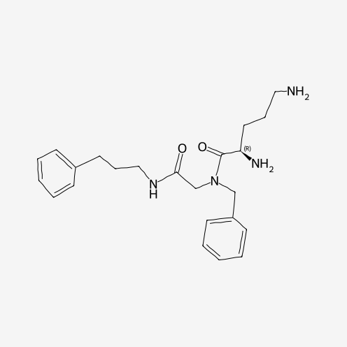 NCCC[C@@H](N)C(=O)N(CC(=O)NCCCc1ccccc1)Cc1ccccc1